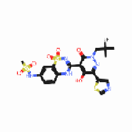 CCC(C)(C)Cn1nc(-c2cncs2)c(O)c(C2=NS(=O)(=O)c3cc(NS(C)(=O)=O)ccc3N2)c1=O